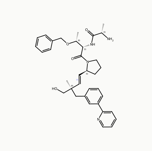 C[C@H](N)C(=O)N[C@H](C(=O)N1CCC[C@H]1/C=C/[C@](C)(CO)Cc1cccc(-c2ccccn2)c1)[C@@H](C)OCc1ccccc1